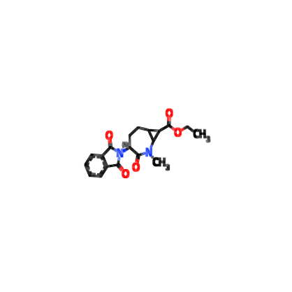 CCOC(=O)C1C2CC[C@H](N3C(=O)c4ccccc4C3=O)C(=O)N(C)C21